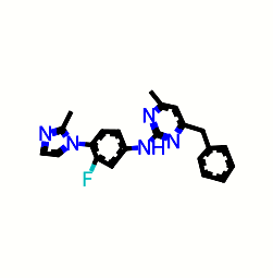 Cc1cc(Cc2ccccc2)nc(Nc2ccc(-n3ccnc3C)c(F)c2)n1